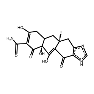 NC(=O)C1=C(O)CC2C[C@@H]3Cc4nc[nH]c4C(=O)C3=C(O)[C@]2(O)C1=O